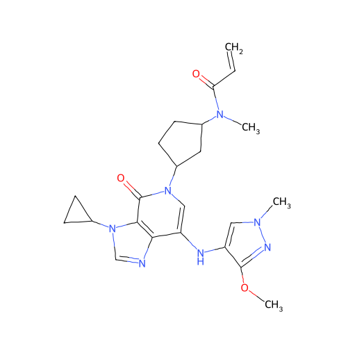 C=CC(=O)N(C)C1CCC(n2cc(Nc3cn(C)nc3OC)c3ncn(C4CC4)c3c2=O)C1